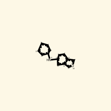 c1ccc(Nc2ccc3cocc3c2)cc1